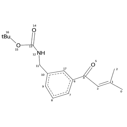 CC(C)=CC(=O)c1cccc(CNC(=O)OC(C)(C)C)c1